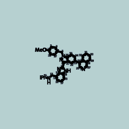 COc1ccc(Cn2nc(-c3nc4c(CNC(C)C)cccc4[nH]3)c3cc(-c4cncc5ccccc45)ccc32)cc1